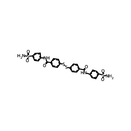 NS(=O)(=O)c1ccc(NC(=O)c2ccc(SSc3ccc(C(=O)Nc4ccc(S(N)(=O)=O)cc4)cc3)cc2)cc1